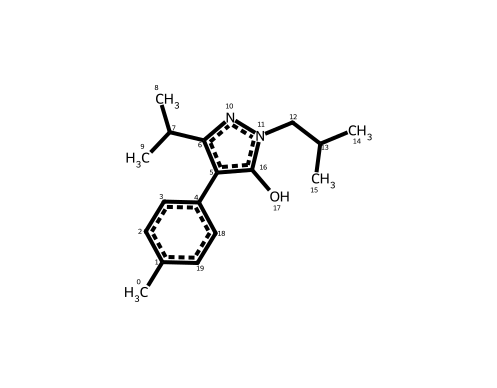 Cc1ccc(-c2c(C(C)C)nn(CC(C)C)c2O)cc1